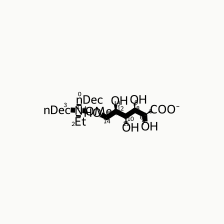 CCCCCCCCCC[N+](CC)(CCCCCCCCCC)OC.O=C([O-])[C@H](O)[C@@H](O)[C@H](O)[C@H](O)CO